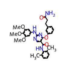 COc1cc(Nc2ncc(C(=O)Nc3c(C)cccc3C)c(Oc3cccc(CCC(N)=O)c3)n2)cc(OC)c1OC